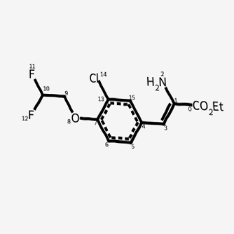 CCOC(=O)/C(N)=C/c1ccc(OCC(F)F)c(Cl)c1